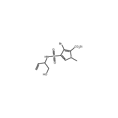 C=CC(CO)NS(=O)(=O)c1cn(C)c(C(=O)OCC)c1Br